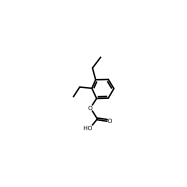 CCc1cccc(OC(=O)O)c1CC